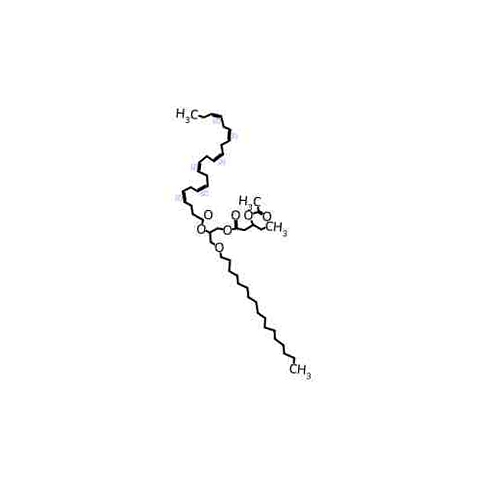 CC/C=C\C/C=C\C/C=C\C/C=C\C/C=C\C/C=C\CCC(=O)OC(COCCCCCCCCCCCCCCCCC)COC(=O)CC(CC)OC(C)=O